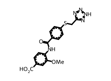 COc1cc(C(=O)O)ccc1NC(=O)c1ccc(SCc2nn[nH]n2)cc1